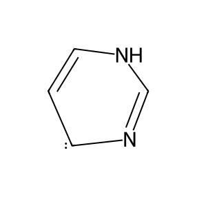 [C]1C=CNC=N1